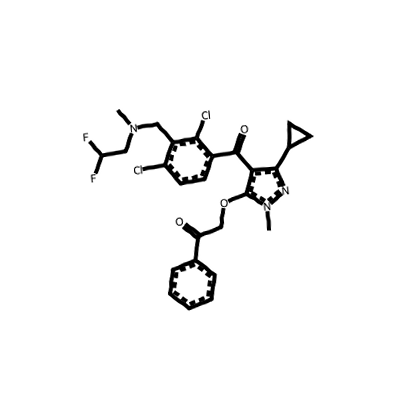 CN(Cc1c(Cl)ccc(C(=O)c2c(C3CC3)nn(C)c2OCC(=O)c2ccccc2)c1Cl)CC(F)F